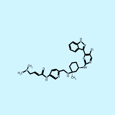 CCc1cnc(N[C@@H]2CCC[C@](C)(NCc3ccc(NC(=O)/C=C/CN(C)C)cn3)C2)nc1-c1n[nH]c2ccccc12